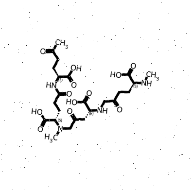 CN[C@@H](CCC(=O)CN[C@H](CC(=O)CN(C)[C@@H](CCC(=O)N[C@@H](CCC(C)=O)C(=O)O)C(=O)O)C(=O)O)C(=O)O